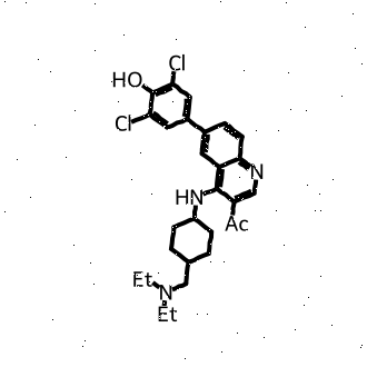 CCN(CC)CC1CCC(Nc2c(C(C)=O)cnc3ccc(-c4cc(Cl)c(O)c(Cl)c4)cc23)CC1